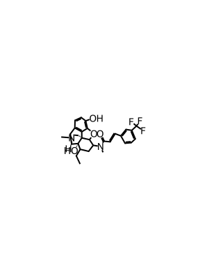 CCC1CC(N(C)C(=O)/C=C/c2cccc(C(F)(F)F)c2)C2Oc3c(O)ccc4c3[C@@]23CCN(C)[C@H](C4)[C@]13O